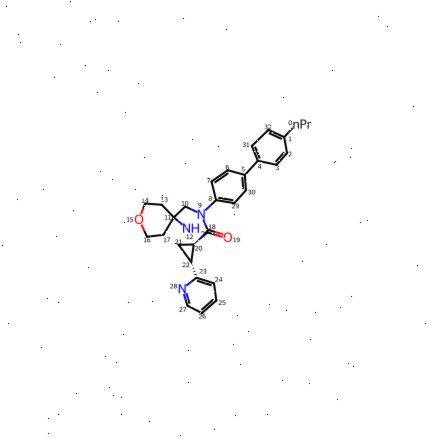 CCCc1ccc(-c2ccc(N(CC3(N)CCOCC3)C(=O)[C@@H]3C[C@H]3c3ccccn3)cc2)cc1